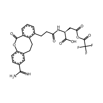 N=C(N)c1ccc2c(c1)CCc1c(CCC(=O)N[C@@H](CC(=O)OC(=O)C(F)(F)F)C(=O)O)cccc1C(=O)O2